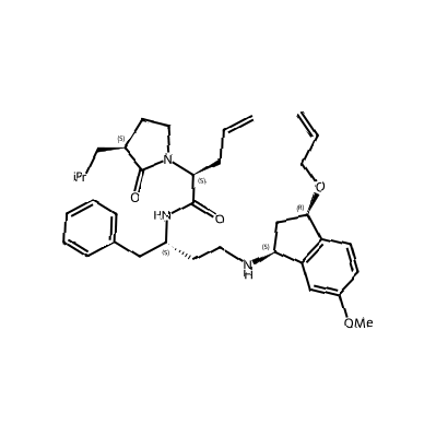 C=CCO[C@@H]1C[C@H](NCC[C@H](Cc2ccccc2)NC(=O)[C@H](CC=C)N2CC[C@H](CC(C)C)C2=O)c2cc(OC)ccc21